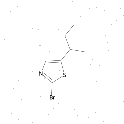 CCC(C)c1cnc(Br)s1